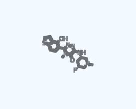 CN1C[C@H](F)C[C@@H](Nc2nnc(-c3ccc4sccc4c3O)n(C)c2=O)C1